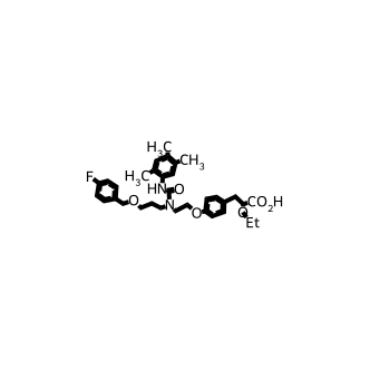 CCOC(Cc1ccc(OCCN(CCCOCc2ccc(F)cc2)C(=O)Nc2cc(C)c(C)cc2C)cc1)C(=O)O